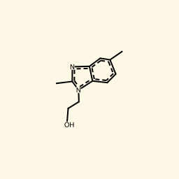 Cc1ccc2c(c1)nc(C)n2CCO